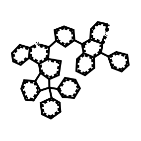 c1ccc(-c2c3ccccc3c(-c3cccc(-c4nc5ccccc5c5c6c(ccc45)C(c4ccccc4)(c4ccccc4)c4ccccc4-6)c3)c3ccccc23)cc1